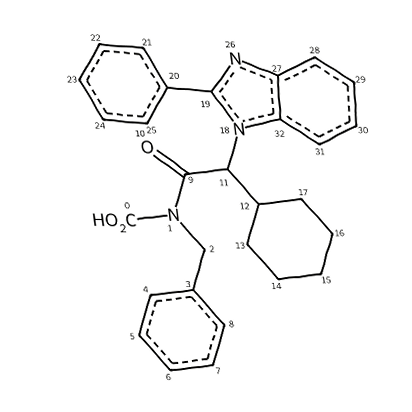 O=C(O)N(Cc1ccccc1)C(=O)C(C1CCCCC1)n1c(-c2ccccc2)nc2ccccc21